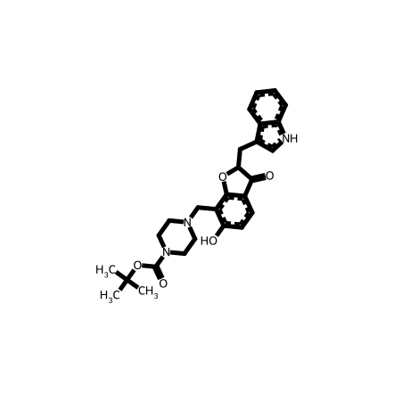 CC(C)(C)OC(=O)N1CCN(Cc2c(O)ccc3c2OC(Cc2c[nH]c4ccccc24)C3=O)CC1